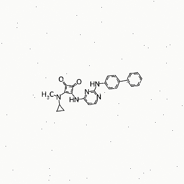 CN(c1c(Nc2ccnc(Nc3ccc(-c4ccccc4)cc3)n2)c(=O)c1=O)C1CC1